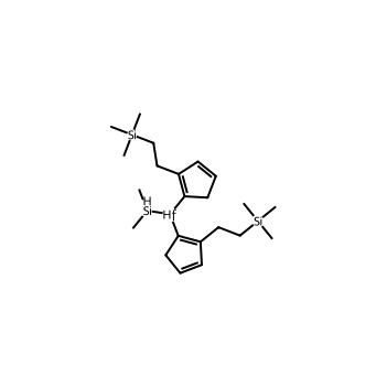 C[SiH](C)[Hf]([C]1=C(CC[Si](C)(C)C)C=CC1)[C]1=C(CC[Si](C)(C)C)C=CC1